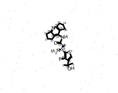 CC(C)(O)c1csc(/S(N)=N/C(=O)Nc2c3c(nc4c2CCC4)CCC3)c1F